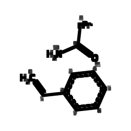 C=Cc1ccccc1.CC[CH]C(N)=O